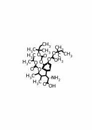 CCC(C)(C)OC(=O)Oc1ccc(C(C(C)C(C)OC(=O)OC(C)C)[C@H](N)C(=O)O)cc1OC(=O)OC(C)(C)CC